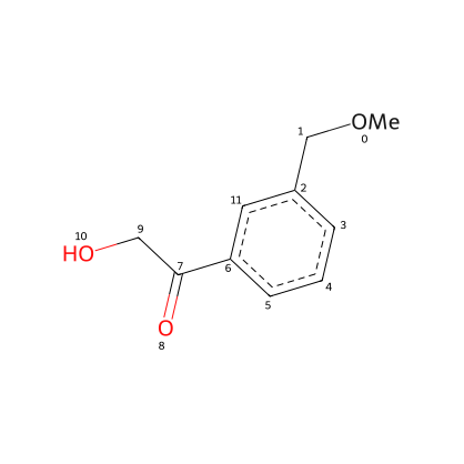 COCc1cccc(C(=O)CO)c1